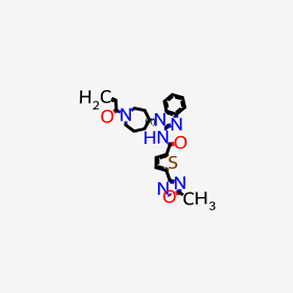 C=CC(=O)N1CCC[C@@H](n2c(NC(=O)c3ccc(-c4noc(C)n4)s3)nc3ccccc32)CC1